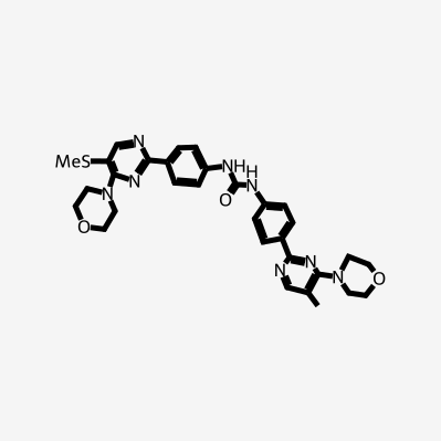 CSc1cnc(-c2ccc(NC(=O)Nc3ccc(-c4ncc(C)c(N5CCOCC5)n4)cc3)cc2)nc1N1CCOCC1